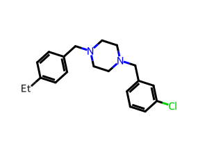 CCc1ccc(CN2CCN(Cc3cccc(Cl)c3)CC2)cc1